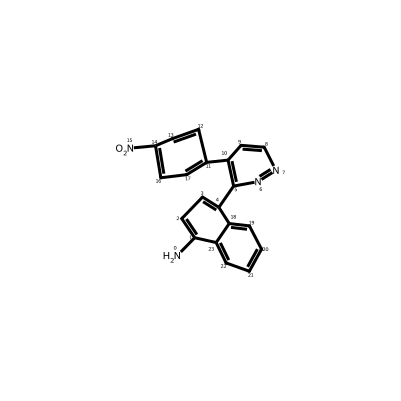 Nc1ccc(-c2nnccc2-c2ccc([N+](=O)[O-])cc2)c2ccccc12